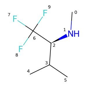 CN[C@@H](C(C)C)C(F)(F)F